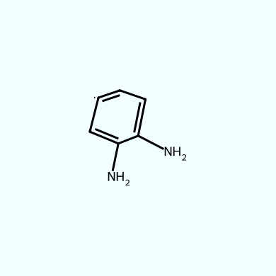 Nc1c[c]ccc1N